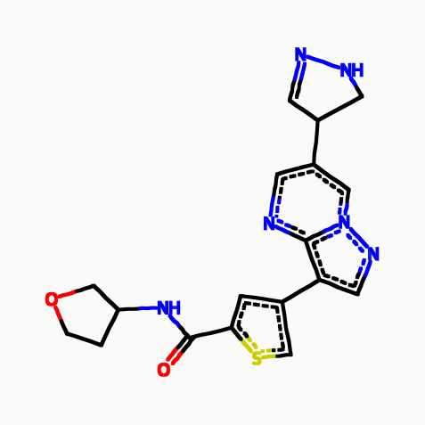 O=C(NC1CCOC1)c1cc(-c2cnn3cc(C4C=NNC4)cnc23)cs1